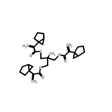 C=C(C(=O)OCC(C)(COC(=O)C(=C)C12CCCC1C2)COC(=O)C(=C)C12CCCC1C2)C12CCCC1C2